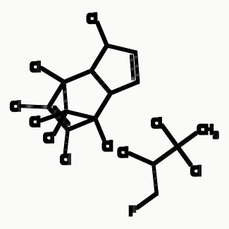 CC(Cl)(Cl)C(Cl)CF.ClC1=C(Cl)C2(Cl)C3C(Cl)C=CC3C1(Cl)C2(Cl)Cl